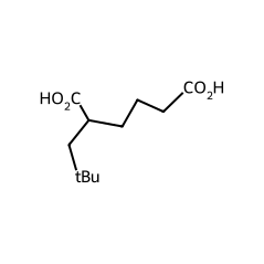 CC(C)(C)CC(CCCC(=O)O)C(=O)O